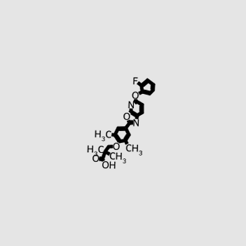 Cc1cc(-c2nc3ccc(Oc4ccccc4F)nc3o2)cc(C)c1OCC(C)(C)C(=O)O